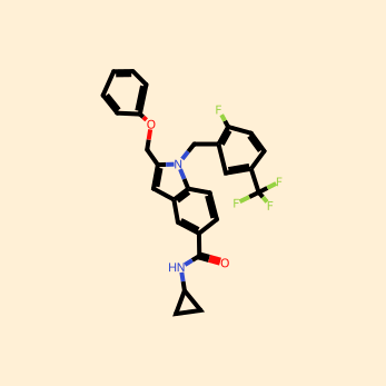 O=C(NC1CC1)c1ccc2c(c1)cc(COc1ccccc1)n2Cc1cc(C(F)(F)F)ccc1F